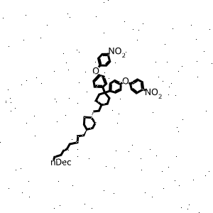 CCCCCCCCCCCCCCCCCC[C@H]1CC[C@H](CCC2CCC(c3ccc(Oc4ccc([N+](=O)[O-])cc4)cc3)(c3ccc(Oc4ccc([N+](=O)[O-])cc4)cc3)CC2)CC1